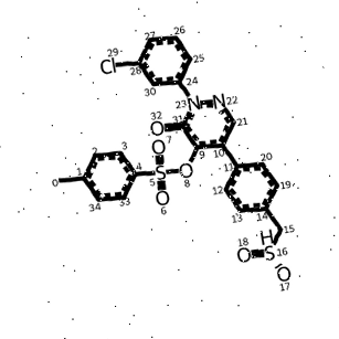 Cc1ccc(S(=O)(=O)Oc2c(-c3ccc(C[SH](=O)=O)cc3)cnn(-c3cccc(Cl)c3)c2=O)cc1